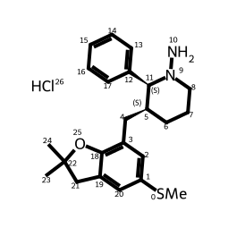 CSc1cc(C[C@@H]2CCCN(N)[C@@H]2c2ccccc2)c2c(c1)CC(C)(C)O2.Cl